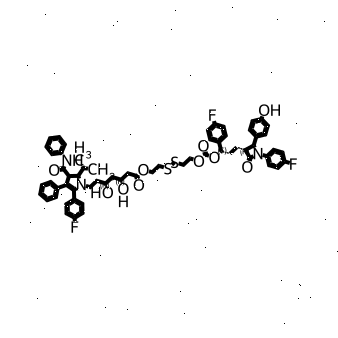 CC(C)C1C(C(=O)Nc2ccccc2)C(c2ccccc2)=C(c2ccc(F)cc2)N1CC[C@@H](O)C[C@@H](O)CC(=O)OCCSSCCOC(=O)O[C@@H](CC[C@H]1C(=O)N(c2ccc(F)cc2)C1c1ccc(O)cc1)c1ccc(F)cc1